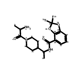 CC(N)C(=O)N1CCC(C(C)NC(=O)c2cccc3c2OC(F)(F)O3)CC1